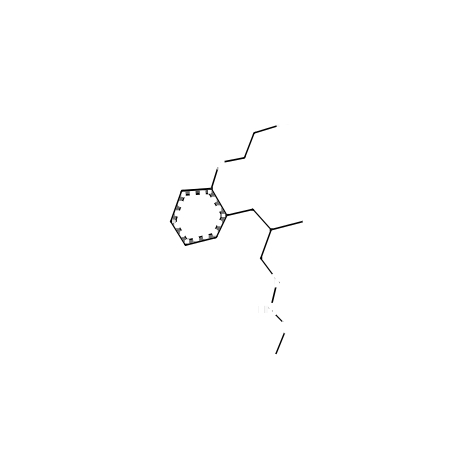 CPNNCC(C)Cc1ccccc1BCCO